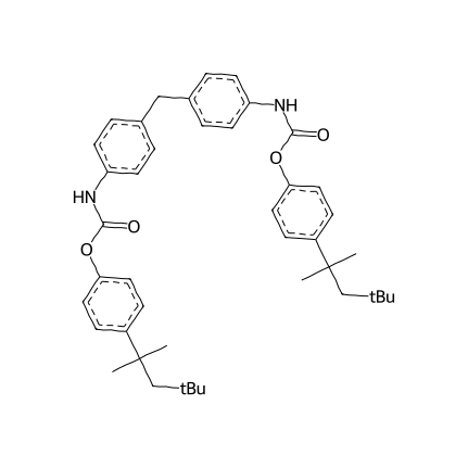 CC(C)(C)CC(C)(C)c1ccc(OC(=O)Nc2ccc(Cc3ccc(NC(=O)Oc4ccc(C(C)(C)CC(C)(C)C)cc4)cc3)cc2)cc1